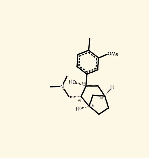 COc1cc([C@@]2(O)C[C@H]3CC[C@H](C3)[C@@H]2CN(C)C)ccc1C